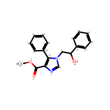 COC(=O)c1ncn(CC(O)c2ccccc2)c1-c1ccccc1